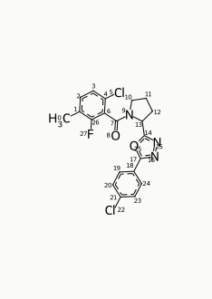 Cc1ccc(Cl)c(C(=O)N2CCCC2c2nnc(-c3ccc(Cl)cc3)o2)c1F